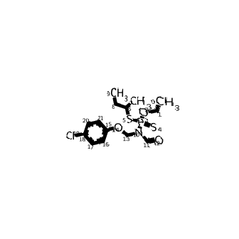 CCOP(=S)(SC(C)CC)N(C=O)COc1ccc(Cl)cc1